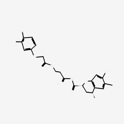 C=C(CCNC(=O)COc1ccc(Cl)c(F)c1)NC(=O)[C@@H]1C[C@H](O)c2cc(F)c(C)cc2O1